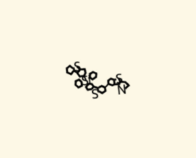 c1ccc([Si](c2ccccc2)(c2ccc3sc4ccccc4c3c2)c2ccc3sc4ccc(-c5ccc6sc7cccnc7c6c5)cc4c3c2)cc1